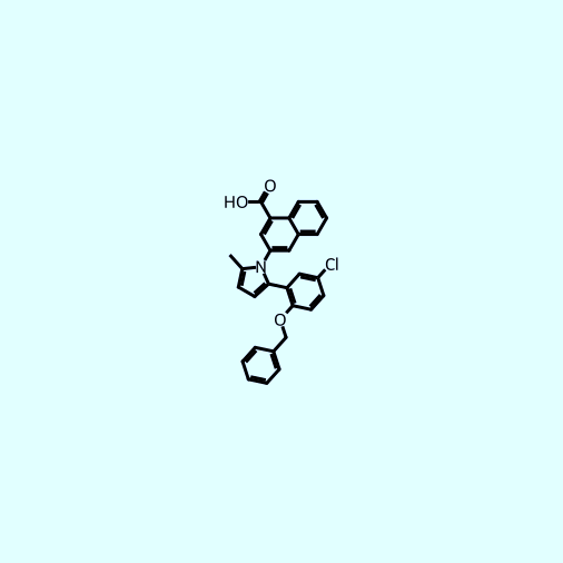 Cc1ccc(-c2cc(Cl)ccc2OCc2ccccc2)n1-c1cc(C(=O)O)c2ccccc2c1